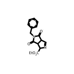 CCOC(=O)C1N=CC2C(=O)N(Cc3ccccc3)C(=O)C21